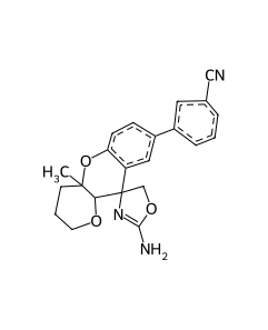 CC12CCCOC1C1(COC(N)=N1)c1cc(-c3cccc(C#N)c3)ccc1O2